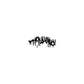 Cc1cc(C(=O)CN2C(=O)NC3(CCCCC3)C2=O)c(C)n1-c1cccc(OCC2CC2)n1